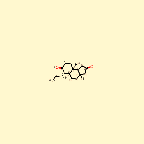 CC(=O)CC[C@@H]1C(=O)CC[C@@H]2C3CC(=O)C[C@@H]3CC[C@@H]12